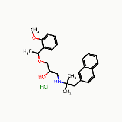 COc1ccccc1C(C)OC[C@H](O)CNC(C)(C)Cc1ccc2ccccc2c1.Cl